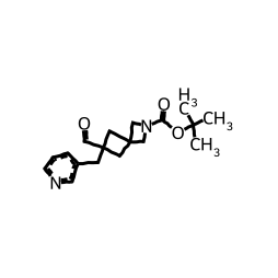 CC(C)(C)OC(=O)N1CC2(C1)CC(C=O)(Cc1cccnc1)C2